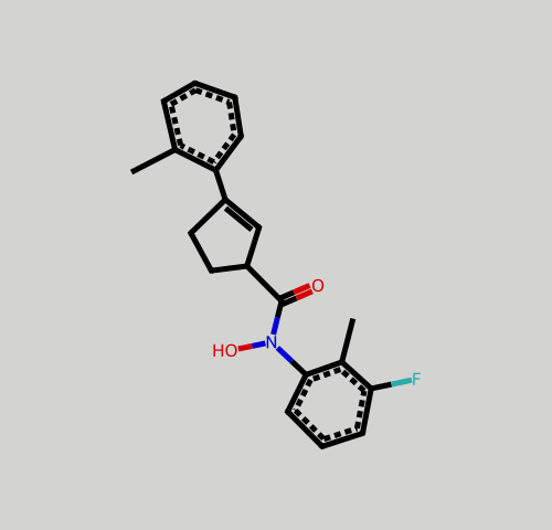 Cc1ccccc1C1=CC(C(=O)N(O)c2cccc(F)c2C)CC1